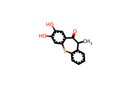 CC1C(=O)c2cc(O)c(O)cc2Sc2ccccc21